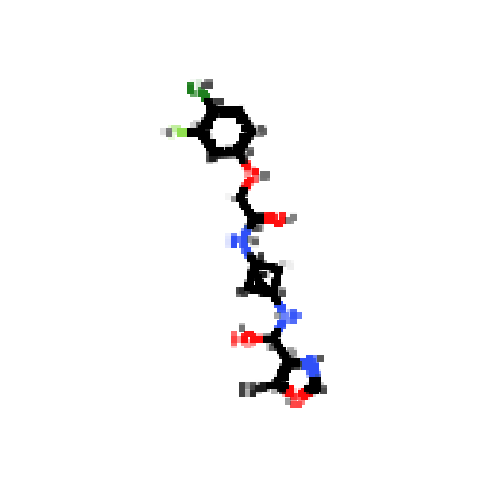 CCc1ocnc1C(O)NC12CC(NC(=O)COc3ccc(Cl)c(F)c3)(C1)C2